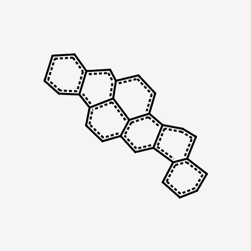 c1ccc2c(c1)ccc1c2cc2ccc3c4ccccc4cc4ccc1c2c43